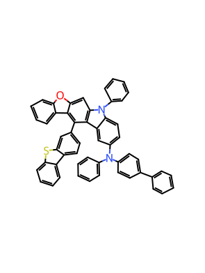 c1ccc(-c2ccc(N(c3ccccc3)c3ccc4c(c3)c3c(-c5ccc6c(c5)sc5ccccc56)c5c(cc3n4-c3ccccc3)oc3ccccc35)cc2)cc1